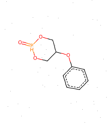 O=[PH]1OCC(Oc2ccccc2)CO1